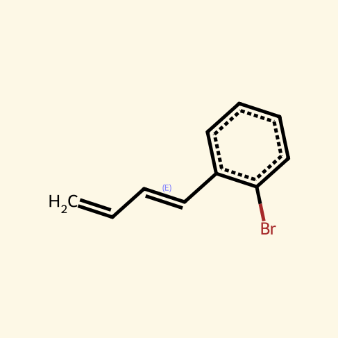 C=C/C=C/c1ccccc1Br